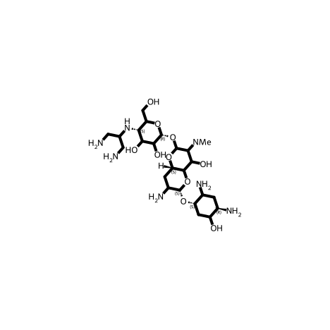 CNC1C(O[C@H]2OC(CO)[C@@H](NC(CN)CN)C(O)C2O)O[C@H]2CC(N)[C@@H](O[C@H]3CC(O)[C@H](N)CC3N)OC2C1O